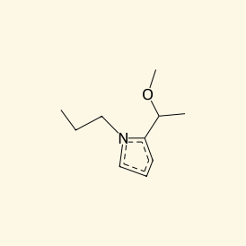 CCCn1cccc1C(C)OC